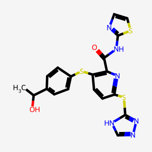 CC(O)c1ccc(Sc2ccc(Sc3nnc[nH]3)nc2C(=O)Nc2nccs2)cc1